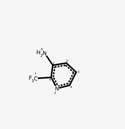 Nc1cccnc1C(F)(F)F